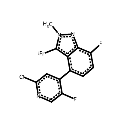 CC(C)c1c2c(-c3cc(Cl)ncc3F)ccc(F)c2nn1C